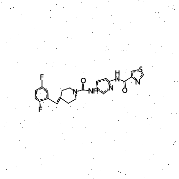 O=C(Nc1ccc(NC(=O)N2CCC(=Cc3cc(F)ccc3F)CC2)cn1)c1cscn1